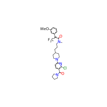 COc1cccc([C@@H](C(=O)N(C)CCCC2CCN(c3ccc(C(=O)N4CCCC4)c(Cl)n3)CC2)C(F)(F)F)c1